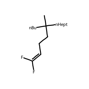 CCCCCCCC(C)(CCC=C(F)F)CCCC